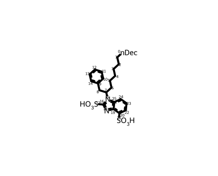 CCCCCCCCCCCCCCCCC(Cc1ccccc1)n1c(S(=O)(=O)O)nc2c(S(=O)(=O)O)cccc21